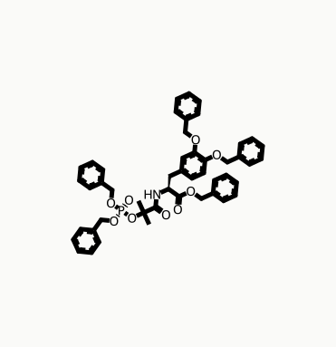 CC(C)(OP(=O)(OCc1ccccc1)OCc1ccccc1)C(=O)N[C@@H](Cc1ccc(OCc2ccccc2)c(OCc2ccccc2)c1)C(=O)OCc1ccccc1